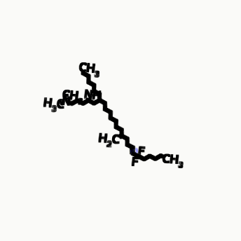 C=C(CC/C=C/C(F)(F)CCCCC)CCCCCCCC(CCCCCCC)CC(=N)CCCN(C)C